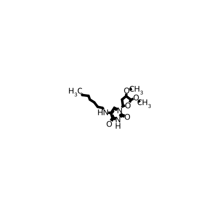 CCCCCCCNc1cn(C2CC(OC)C(OC)O2)c(=O)[nH]c1=O